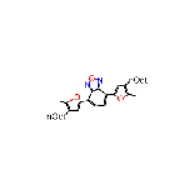 CCCCCCCCc1cc(-c2ccc(-c3cc(CCCCCCCC)c(C)o3)c3nonc23)oc1C